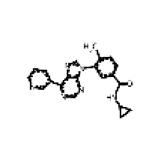 Cc1ccc(C(=O)NC2CC2)cc1-n1cnc2c(-c3cccnc3)ncnc21